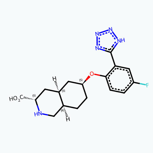 O=C(O)[C@@H]1C[C@H]2C[C@@H](Oc3ccc(F)cc3-c3nnn[nH]3)CC[C@H]2CN1